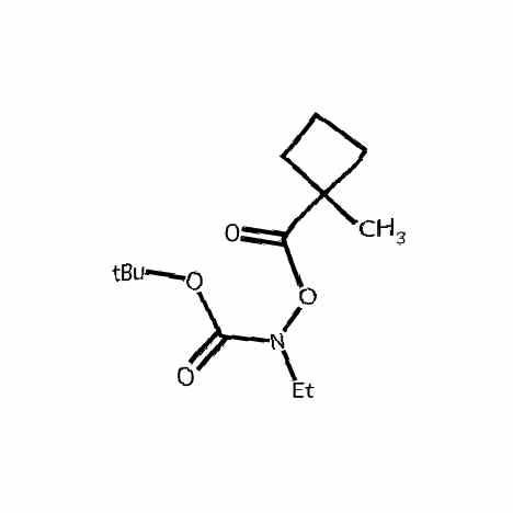 CCN(OC(=O)C1(C)CCC1)C(=O)OC(C)(C)C